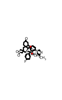 COc1cc(C2CC(=O)CCC23CC2(CN4C3=NOC4(C)c3ccc(F)cc3)CS(=O)(=O)C2)ccc1-n1cnc(C)c1